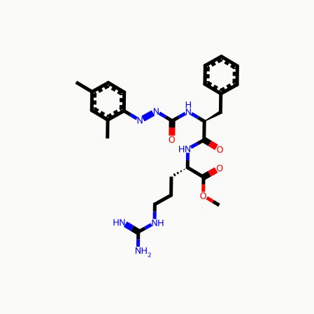 COC(=O)[C@H](CCCNC(=N)N)NC(=O)[C@H](Cc1ccccc1)NC(=O)N=Nc1ccc(C)cc1C